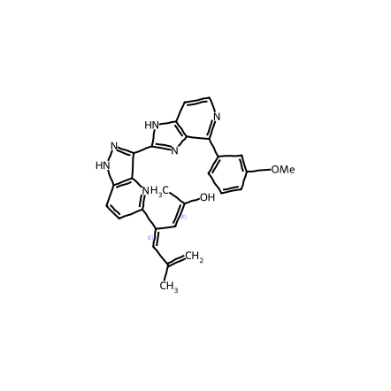 C=C(C)/C=C(\C=C(/C)O)c1ccc2[nH]nc(-c3nc4c(-c5cccc(OC)c5)nccc4[nH]3)c2n1